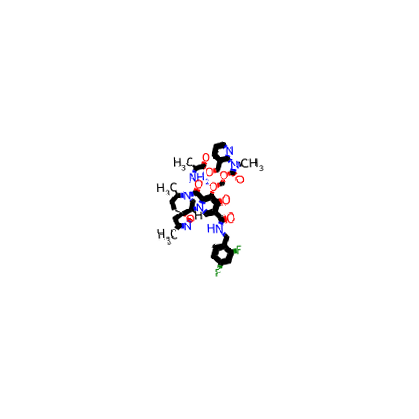 CC1=NO[C@@]2(CC[C@H](C)N3C[C@H]2n2cc(C(=O)NCc4ccc(F)cc4F)c(=O)c(OCOC(=O)N(C)c4ncccc4COC(=O)[C@H](C)N)c2C3=O)C1